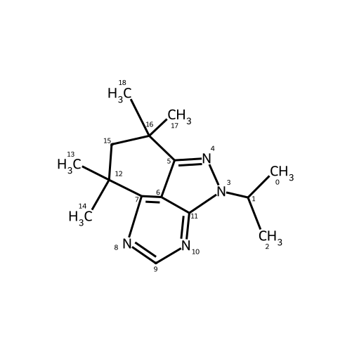 CC(C)n1nc2c3c(ncnc31)C(C)(C)CC2(C)C